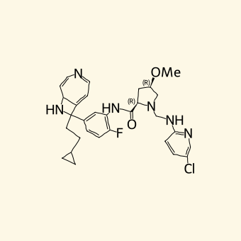 CO[C@@H]1C[C@H](C(=O)Nc2cc(C3(CCC4CC4)NC4C=CN=CC=C43)ccc2F)N(CNc2ccc(Cl)cn2)C1